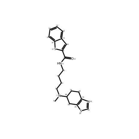 CN(CCCCNC(=O)c1cc2ccccc2s1)C1CCc2ncsc2C1